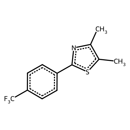 Cc1nc(-c2ccc(C(F)(F)F)cc2)sc1C